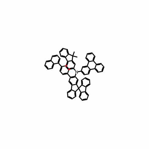 CC1(C)c2ccccc2-c2ccc(N(c3ccc4c5ccccc5c5ccccc5c4c3)c3cc4c(cc3-c3ccc(-c5cccc6ccccc56)cc3)-c3ccccc3C43c4ccccc4-c4ccccc43)cc21